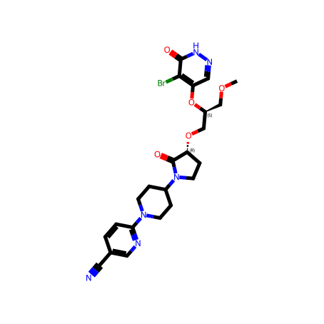 COC[C@@H](CO[C@@H]1CCN(C2CCN(c3ccc(C#N)cn3)CC2)C1=O)Oc1cn[nH]c(=O)c1Br